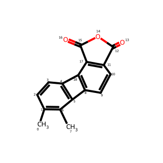 Cc1ccc2c(c1C)c1ccc3c(=O)oc(=O)c3c21